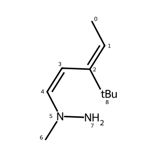 C/C=C(\C=C/N(C)N)C(C)(C)C